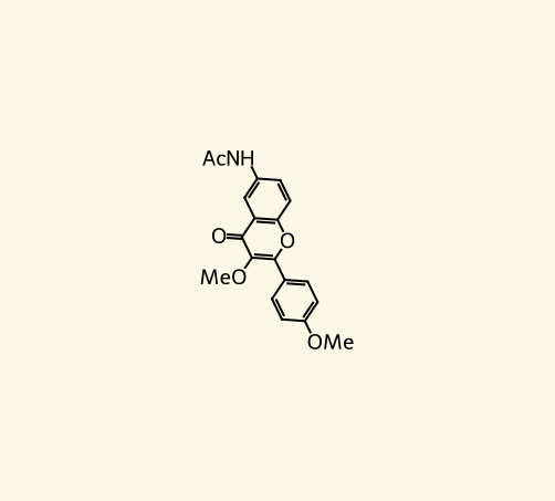 COc1ccc(-c2oc3ccc(NC(C)=O)cc3c(=O)c2OC)cc1